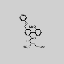 COc1ccccc1-c1cc(COc2cccnc2)ccc1C(=O)NC(CCSC)C(=O)O